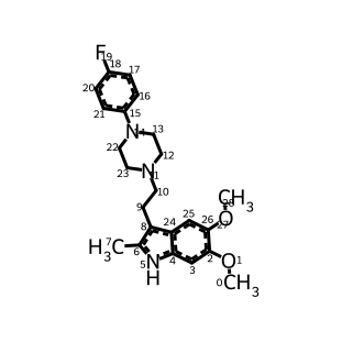 COc1cc2[nH]c(C)c(CCN3CCN(c4ccc(F)cc4)CC3)c2cc1OC